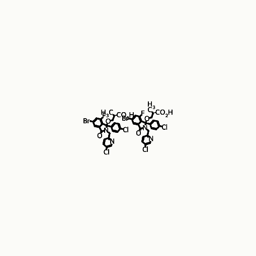 C[C@@H](COC1(c2ccc(Cl)cc2)c2c(F)cc(Br)cc2C(=O)N1Cc1ccc(Cl)cn1)C(=O)O.C[C@H](COC1(c2ccc(Cl)cc2)c2c(F)cc(Br)cc2C(=O)N1Cc1ccc(Cl)cn1)C(=O)O